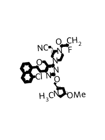 C=C(F)C(=O)N1CCN(c2nc(OC[C@H]3C[C@H](OC)CN3C)nc3c2COC(c2cccc4cccc(Cl)c24)C3)C[C@@H]1CC#N